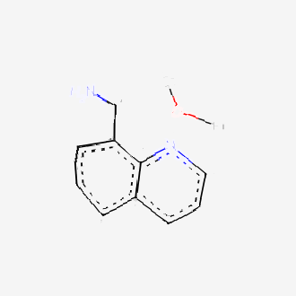 CCOCC.NCc1cccc2cccnc12